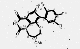 CO[C@H]1CSc2c(-c3cc(Cl)c(F)cc3F)c(C(F)(F)F)cc3c(=O)[nH]c(=O)n(c23)C1